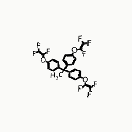 CC(c1ccc(OC(F)=C(F)F)cc1)(c1ccc(OC(F)=C(F)F)cc1)c1ccc(OC(F)=C(F)F)cc1